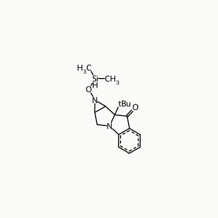 C[SiH](C)ON1C2CN3c4ccccc4C(=O)C3(C(C)(C)C)C21